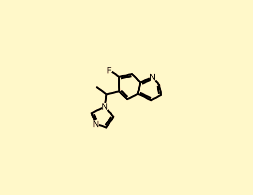 CC(c1cc2cccnc2cc1F)n1ccnc1